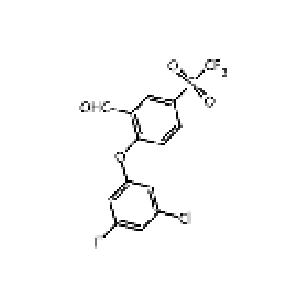 O=Cc1cc(S(=O)(=O)C(F)(F)F)ccc1Oc1cc(F)cc(Cl)c1